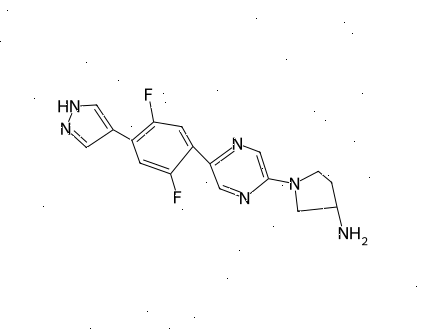 NC1CCN(c2cnc(-c3cc(F)c(-c4cn[nH]c4)cc3F)cn2)C1